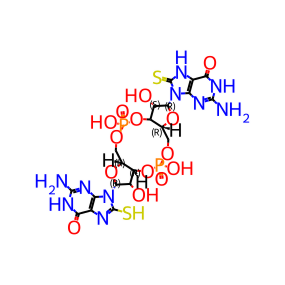 Nc1nc2c(nc(S)n2[C@@H]2O[C@@H]3COP(=O)(O)OC4[C@@H](COP(=O)(O)O[C@@H]3C2O)O[C@@H](n2c(=S)[nH]c3c(=O)[nH]c(N)nc32)[C@H]4O)c(=O)[nH]1